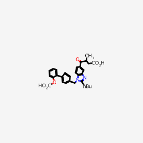 CCCCc1nc2cc(C(=O)C(C)CC(=O)O)ccc2n1Cc1ccc(-c2ccccc2OC(=O)O)cc1